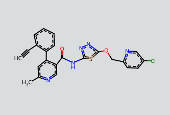 C#Cc1ccccc1-c1cc(C)ncc1C(=O)Nc1nnc(OCc2ccc(Cl)cn2)s1